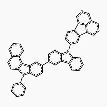 c1ccc(-n2c3ccc(-c4ccc5c(c4)c4ccccc4n5-c4ccc5c(c4)-c4cccc6cncc-5c46)cc3c3c4ccccc4ccc32)cc1